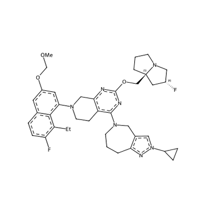 CCc1c(F)ccc2cc(OCOC)cc(N3CCc4c(nc(OC[C@@]56CCCN5C[C@H](F)C6)nc4N4CCCc5nn(C6CC6)cc5C4)C3)c12